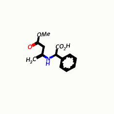 C=C(CC(=O)OC)NC(C(=O)O)c1ccccc1